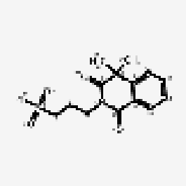 CC(C)S(=O)(=O)CCCN1C(=O)c2ccccc2C(C)(C)C1=O